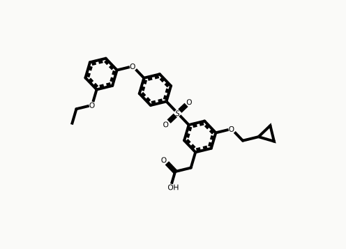 CCOc1cccc(Oc2ccc(S(=O)(=O)c3cc(CC(=O)O)cc(OCC4CC4)c3)cc2)c1